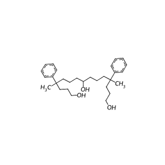 CC(CCCO)(CCCC(O)CCCC(C)(CCCO)c1ccccc1)c1ccccc1